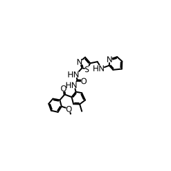 COc1ccccc1C(=O)c1cc(C)ccc1NC(=O)Nc1ncc(CNc2ccccn2)s1